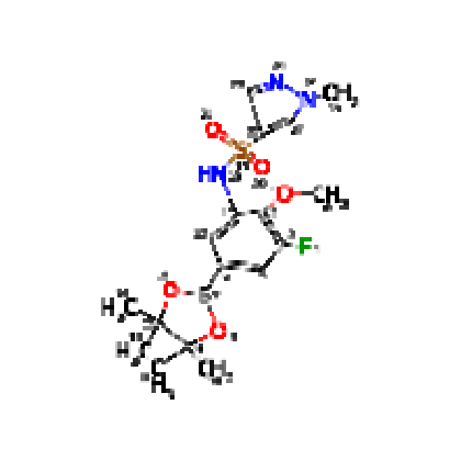 COc1c(F)cc(B2OC(C)(C)C(C)(C)O2)cc1NS(=O)(=O)c1cnn(C)c1